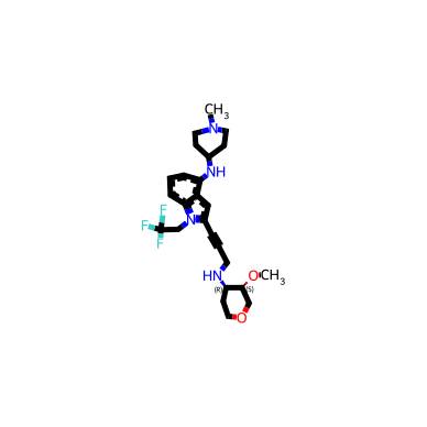 CO[C@@H]1COCC[C@H]1NCC#Cc1cc2c(NC3CCN(C)CC3)cccc2n1CC(F)(F)F